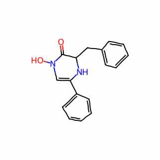 O=C1C(Cc2ccccc2)NC(c2ccccc2)=CN1O